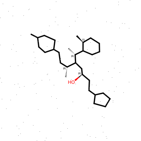 CC1CCC(CC[C@@H](C)C(C[C@H](O)CCC2CCCC2)[C@H](C)C2CCCC[C@@H]2C)CC1